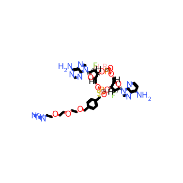 B[P@]1(=O)OC[C@H]2O[C@@H](n3cnc4c(N)ccnc43)[C@H](F)[C@@H]2O[P@@](=O)(SCc2ccc(COCCOCCOCCN=[N+]=[N-])cc2)OC[C@H]2O[C@@H](n3cnc4c(N)ncnc43)[C@H](F)[C@@H]2O1